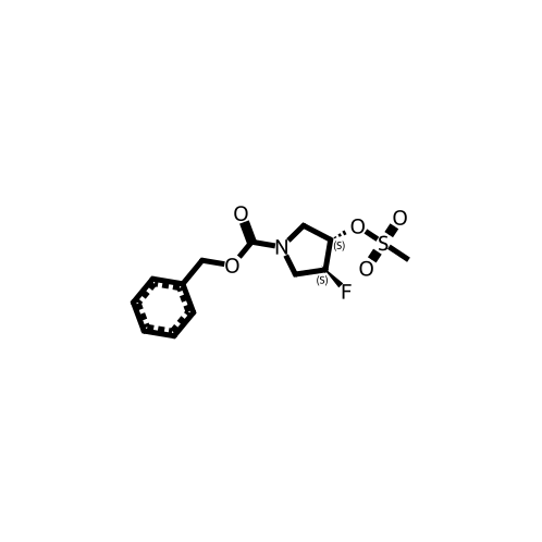 CS(=O)(=O)O[C@H]1CN(C(=O)OCc2ccccc2)C[C@@H]1F